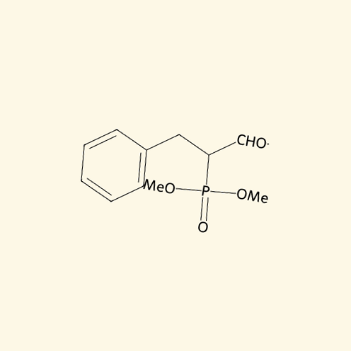 COP(=O)(OC)C([C]=O)Cc1ccccc1